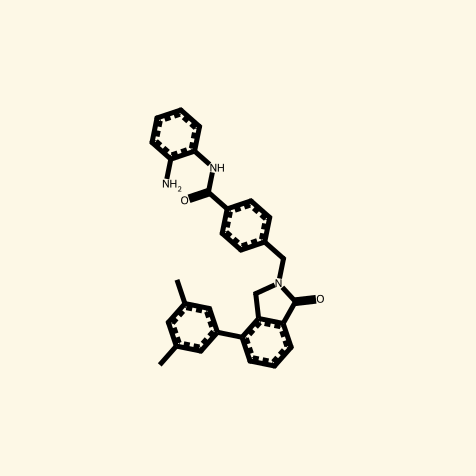 Cc1cc(C)cc(-c2cccc3c2CN(Cc2ccc(C(=O)Nc4ccccc4N)cc2)C3=O)c1